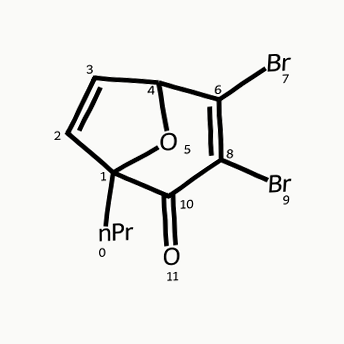 CCCC12C=CC(O1)C(Br)=C(Br)C2=O